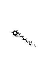 CCNCC=CCNCc1ccccc1